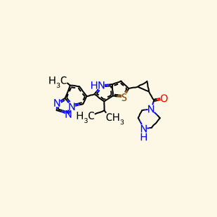 Cc1cc(-c2[nH]c3cc(C4CC4C(=O)N4CCNCC4)sc3c2C(C)C)cn2ncnc12